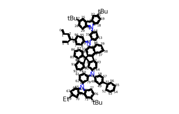 C=C/C=C(\C=C)c1ccc(N(c2cccc(-n3c4ccc(C(C)(C)C)cc4c4cc(C(C)(C)C)ccc43)c2)c2cc3c(c4ccccc24)-c2ccc(N(c4ccc(-c5ccccc5)cc4)c4cccc(-n5c6ccc(CC)cc6c6cc(C(C)(C)C)ccc65)c4)cc2C3(c2ccccc2)c2ccccc2)cc1